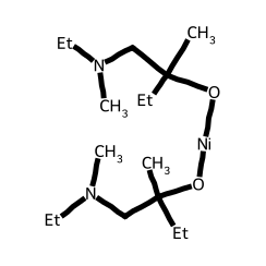 CCN(C)CC(C)(CC)[O][Ni][O]C(C)(CC)CN(C)CC